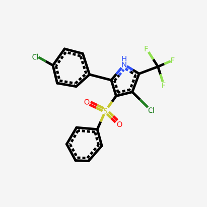 O=S(=O)(c1ccccc1)c1c(-c2ccc(Cl)cc2)[nH]c(C(F)(F)F)c1Cl